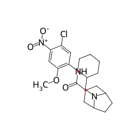 COc1cc([N+](=O)[O-])c(Cl)cc1NC(=O)C1CC2CCC(C1)N2CC1CCCCC1